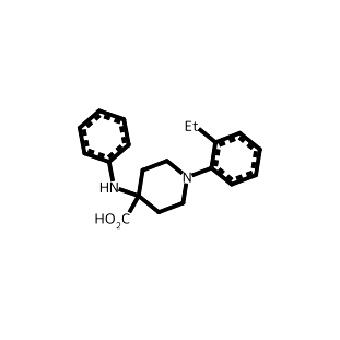 CCc1ccccc1N1CCC(Nc2ccccc2)(C(=O)O)CC1